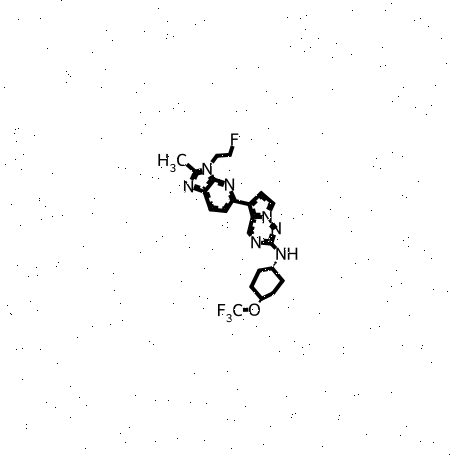 Cc1nc2ccc(-c3ccn4nc(N[C@H]5CC[C@@H](OC(F)(F)F)CC5)ncc34)nc2n1CCF